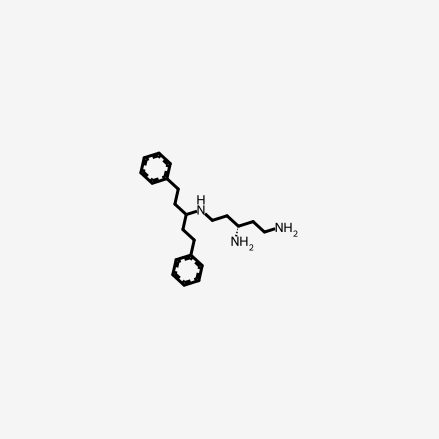 NCC[C@H](N)CCNC(CCc1ccccc1)CCc1ccccc1